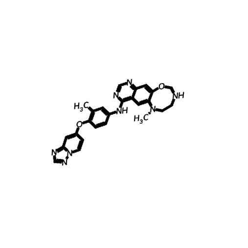 Cc1cc(Nc2ncnc3cc4c(cc23)N(C)CCNCO4)ccc1Oc1ccn2ncnc2c1